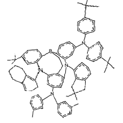 Cc1cccc(N(c2cccc(C)c2)c2cc3c4c(c2)N(c2cccc5c2CC(C)(C)C5)c2cc(N(c5ccc(C(C)(C)C)cc5)c5ccc(C(C)(C)C)cc5)ccc2B(CC4)c2ccc(C(C)(C)C)cc2N3C2=C3CCCCC3=CCC2)c1